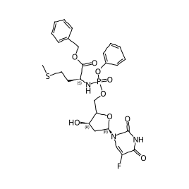 CSCC[C@H](NP(=O)(OCC1O[C@@H](n2cc(F)c(=O)[nH]c2=O)C[C@H]1O)Oc1ccccc1)C(=O)OCc1ccccc1